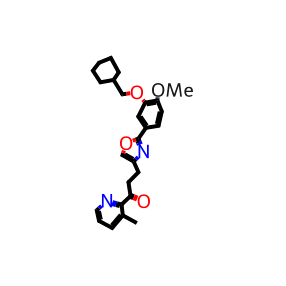 COc1ccc(-c2nc(CCC(=O)c3ncccc3C)co2)cc1OCC1CCCCC1